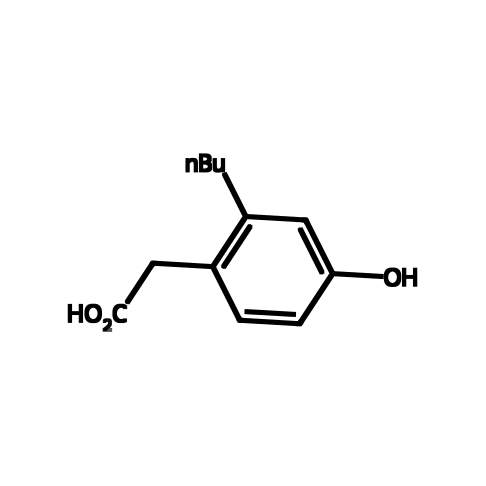 CCCCc1cc(O)ccc1CC(=O)O